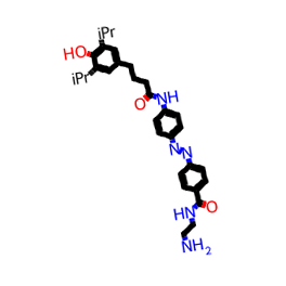 CC(C)c1cc(CCCC(=O)Nc2ccc(/N=N/c3ccc(C(=O)NCCN)cc3)cc2)cc(C(C)C)c1O